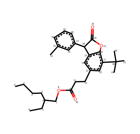 CCCCC(CC)COC(=O)CCc1cc2c(c(C(C)(C)C)c1)OC(=O)C2c1cccc(C)c1